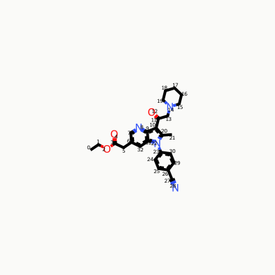 CCOC(=O)Cc1cnc2c(C(=O)CN3CCCCC3)c(C)n(-c3ccc(C#N)cc3)c2c1